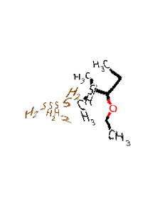 CCOC(CC)[SiH](C)C.S.S.S.S